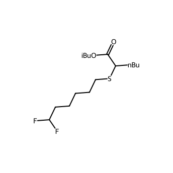 CCCCC(SCCCCCC(F)F)C(=O)OCC(C)C